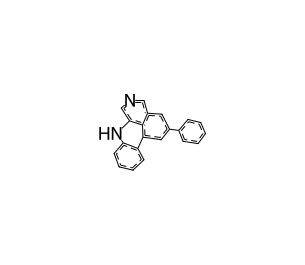 c1ccc(-c2cc3c4c(cncc4c2)Nc2ccccc2-3)cc1